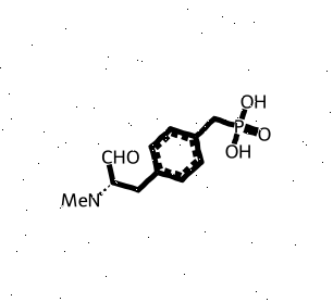 CN[C@H](C=O)Cc1ccc(CP(=O)(O)O)cc1